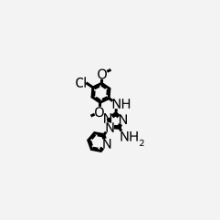 COc1cc(Nc2nc(N)n(-c3ccccn3)n2)c(OC)cc1Cl